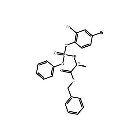 C[C@H](NP(=O)(Oc1ccccc1)Oc1ccc(Br)cc1Br)C(=O)OCc1ccccc1